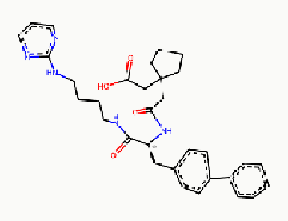 O=C(O)CC1(CC(=O)N[C@@H](Cc2ccc(-c3ccccc3)cc2)C(=O)NCCCCNc2ncccn2)CCCC1